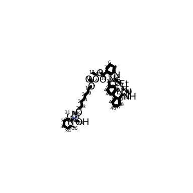 CCOc1nc2cccc(C(=O)OC(C)OC(=O)OCCCCCCCO/N=[N+](\O)N3[C@H](C)CCC[C@@H]3C)c2n1Cc1ccc(-c2ccccc2-c2nnn[nH]2)cc1